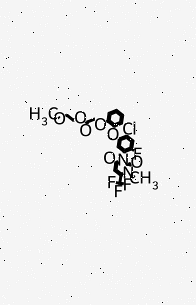 COCCOC(=O)COc1ccccc1Oc1cc(-n2c(=O)cc(C(F)(F)F)n(C)c2=O)c(F)cc1Cl